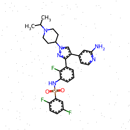 CC(C)N1CCC(n2cc(-c3ccnc(N)c3)c(-c3cccc(NS(=O)(=O)c4cc(F)ccc4F)c3F)n2)CC1